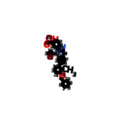 Cc1c(OCc2ccccc2)cccc1C12CCC(Cc3nc4ccc(C(=O)O)cc4n3C[C@@H]3CCO3)(CC1)CC2